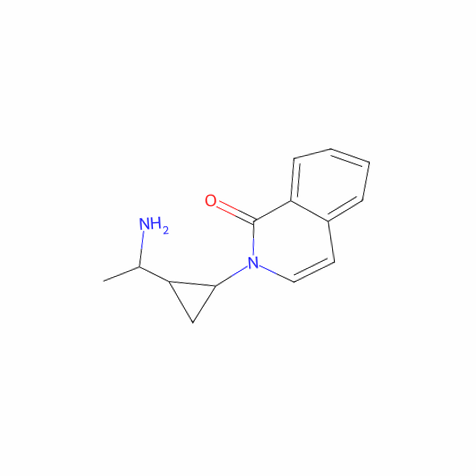 CC(N)C1CC1n1ccc2ccccc2c1=O